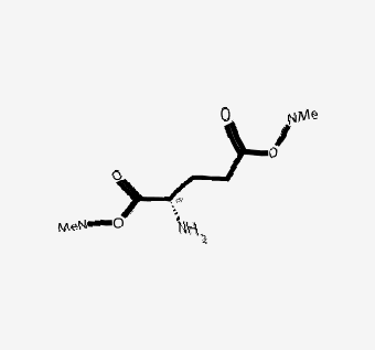 CNOC(=O)CC[C@H](N)C(=O)ONC